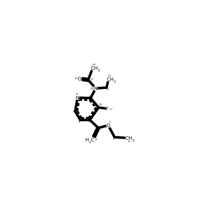 C=C(OCC)c1ccnc(N(CC)C(C)=O)c1F